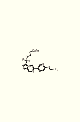 COCCOC(F)(F)c1nnc2cnc(-c3ccc(OCC(F)(F)F)nc3)cn12